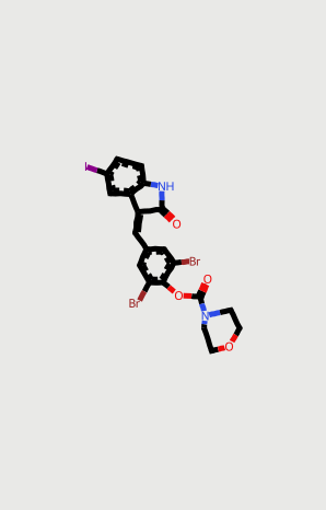 O=C1Nc2ccc(I)cc2C1=Cc1cc(Br)c(OC(=O)N2CCOCC2)c(Br)c1